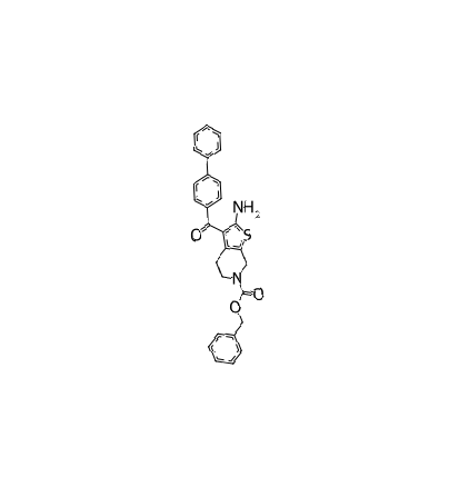 Nc1sc2c(c1C(=O)c1ccc(-c3ccccc3)cc1)CCN(C(=O)OCc1ccccc1)C2